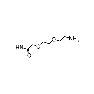 [NH]C(=O)COCCOCCN